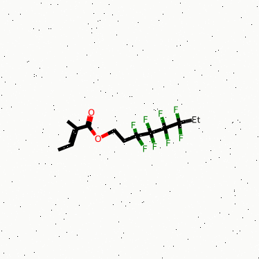 CC=C(C)C(=O)OCCC(F)(F)C(F)(F)C(F)(F)C(F)(F)CC